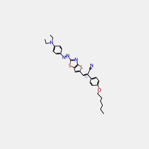 CCCCCCOc1ccc(/C(C#N)=C/c2cc3sc(/N=N/c4ccc(N(CC)CC)cc4)nc3s2)cc1